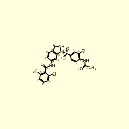 CC(=O)Nc1ccc(S(=O)(=O)N2NCc3ccc(NC(=O)c4c(F)cccc4Cl)cc32)cc1Cl